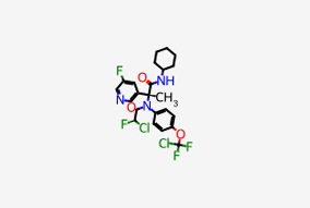 C[C@](C(=O)NC1CCCCC1)(c1cncc(F)c1)N(C(=O)[C@H](F)Cl)c1ccc(OC(F)(F)Cl)cc1